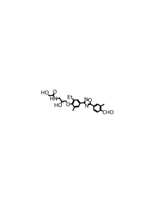 CCc1cc(-c2noc(-c3ccc(C=O)c(C)c3)n2)cc(C)c1OC[C@@H](O)CNC(=O)CO